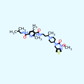 CONC(=O)N(Cc1ccsc1)C1CCN([C@H](C)CCNC(=O)c2c(C)cc(C(=O)NCC(C)C)nc2C)CC1